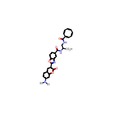 CCN(CC)c1ccc2cc(-c3nc4cc(C(=O)NC(CNC(=O)C5=C/C=C\C=C/C=C\5)C(=O)O)ccc4o3)c(=O)oc2c1